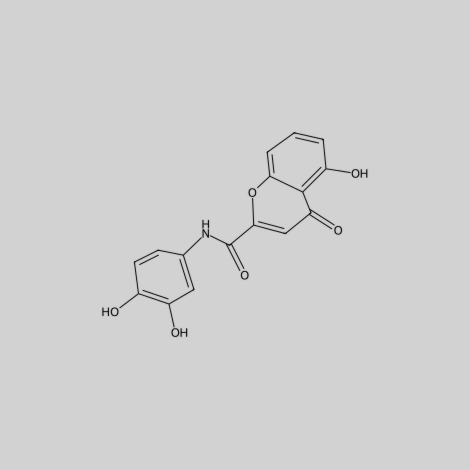 O=C(Nc1ccc(O)c(O)c1)c1cc(=O)c2c(O)cccc2o1